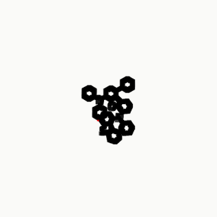 c1ccc(-c2ccc(N(c3ccccc3)c3ccccc3)c3oc4c(N(c5ccccc5)c5cccc6sc7ccccc7c56)cccc4c23)cc1